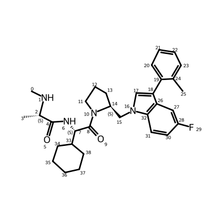 CN[C@@H](C)C(=O)N[C@H](C(=O)N1CCC[C@H]1Cn1cc(-c2ccccc2C)c2cc(F)ccc21)C1CCCCC1